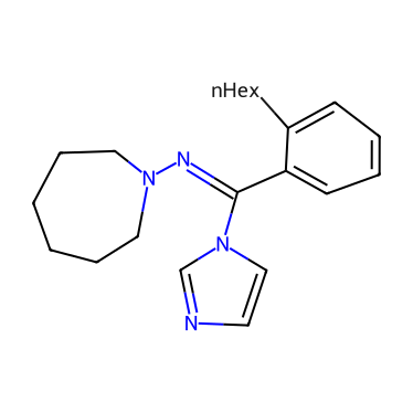 CCCCCCc1ccccc1C(=NN1CCCCCC1)n1ccnc1